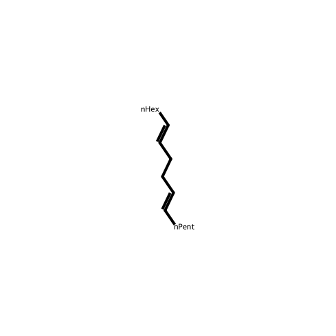 [CH2]CCCCCC=CCCC=CCCCCC